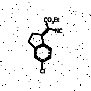 [C-]#[N+]/C(C(=O)OCC)=C1/CCc2cc(Cl)ccc21